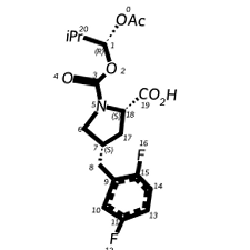 CC(=O)O[C@H](OC(=O)N1C[C@@H](Cc2cc(F)ccc2F)C[C@H]1C(=O)O)C(C)C